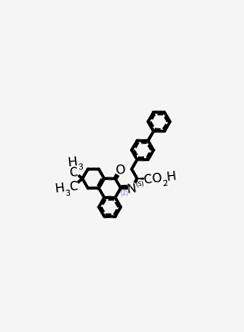 CC1(C)CCC2=C(C1)c1ccccc1/C(=N/[C@@H](Cc1ccc(-c3ccccc3)cc1)C(=O)O)C2=O